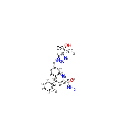 CCC(O)(c1cn(Cc2ccc3c(-c4ccccc4C)cc(C(N)=O)nc3c2)nn1)C(F)(F)F